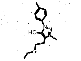 CCSCCc1c(C)nn(-c2ccc(C)cc2)c1O